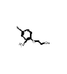 Bc1cc(I)ccc1OCCO